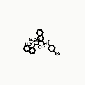 CN(C(=O)c1cc2ccccc2cc1C(=O)C(c1cccc2ccccc12)P(=O)(O)O)C1CCC(C(C)(C)C)CC1